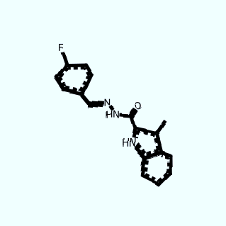 Cc1c(C(=O)NN=Cc2ccc(F)cc2)[nH]c2ccccc12